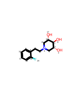 O[C@H]1[C@H](O)CN(CCc2ccccc2F)C[C@@H]1O